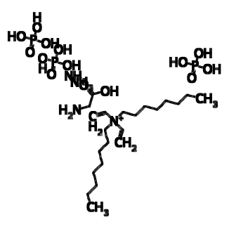 C=C[N+](C=C)(CCCCCCCC)CCCCCCCC.N.N.NCC(=O)O.O=P(O)(O)O.O=P(O)(O)O.O=P(O)(O)O